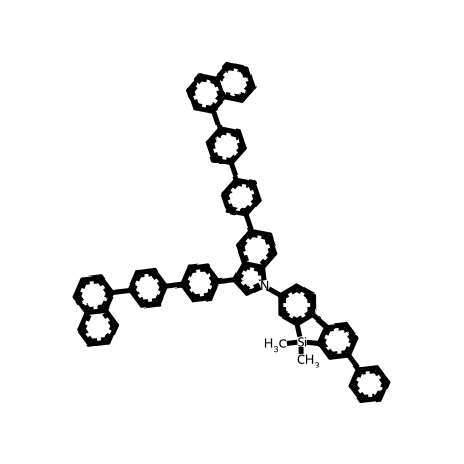 C[Si]1(C)c2cc(-c3ccccc3)ccc2-c2ccc(-n3cc(-c4ccc(-c5ccc(-c6cccc7ccccc67)cc5)cc4)c4cc(-c5ccc(-c6ccc(-c7cccc8ccccc78)cc6)cc5)ccc43)cc21